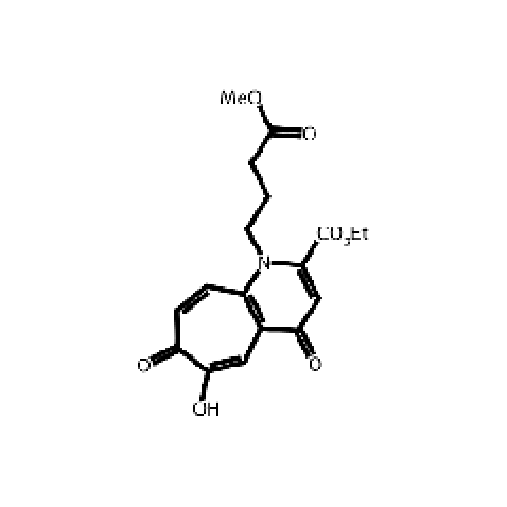 CCOC(=O)c1cc(=O)c2cc(O)c(=O)ccc2n1CCCC(=O)OC